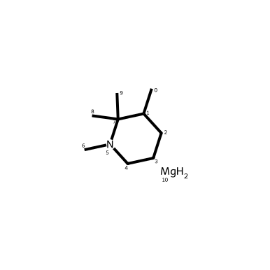 CC1CCCN(C)C1(C)C.[MgH2]